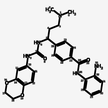 CN(C)CCC(NC(=O)Nc1ccc2c(c1)OCCO2)c1ccc(C(=O)Nc2ccccc2N)cc1